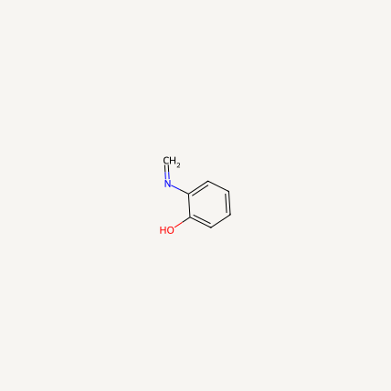 C=Nc1ccccc1O